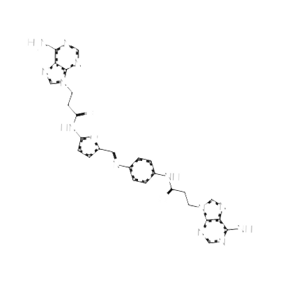 Nc1ncnc2c1ncn2CCC(=O)Nc1ccc(/N=C/c2ccc(NC(=O)CCn3cnc4c(N)ncnc43)o2)cc1